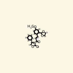 COc1ccc(/C=C/C(=O)N2C(=O)OC[C@H]2c2ccccc2)c(C2OCCO2)c1